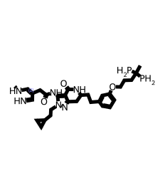 CN/C=C(\C=N)CC(=O)Nc1c2c(nn1CCC1CC1)CC(CCc1cccc(OCCCC(C)(P)P)c1)NC2=O